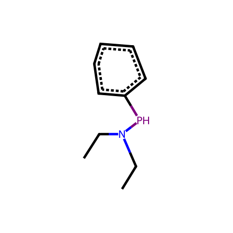 CCN(CC)Pc1ccccc1